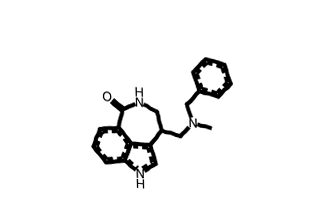 CN(Cc1ccccc1)CC1CNC(=O)c2cccc3[nH]cc1c23